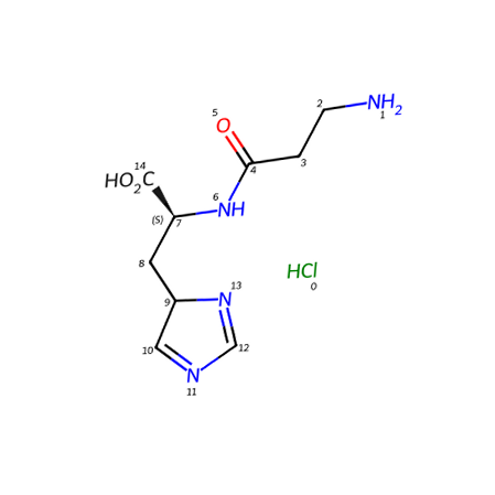 Cl.NCCC(=O)N[C@@H](CC1C=NC=N1)C(=O)O